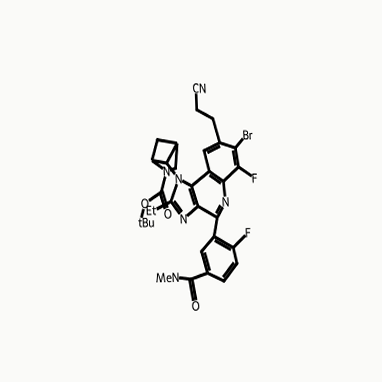 CCc1nc2c(-c3cc(C(=O)NC)ccc3F)nc3c(F)c(Br)c(CCC#N)cc3c2n1C1C2CC1N(C(=O)OC(C)(C)C)C2